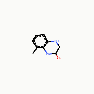 Cc1cccc2c1NC(O)CN2